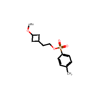 CCCCOC1CC(CCOS(=O)(=O)c2ccc(C)cc2)C1